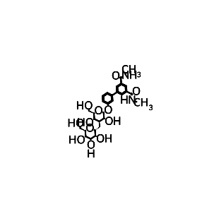 CNC(=O)c1cc(C(=O)NC)cc(-c2cccc(O[C@H]3O[C@H](CO)[C@@H](O)[C@H](C[C@H]4O[C@H](CO)[C@@H](O)[C@H](O)[C@@H]4O)[C@@H]3O)c2)c1